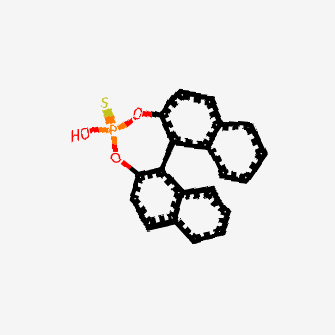 OP1(=S)Oc2ccc3ccccc3c2-c2c(ccc3ccccc23)O1